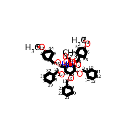 COCNC(=O)[C@H](OCc1ccccc1)[C@@H](OCc1ccccc1)[C@H](OCc1ccccc1)C(O)(COCc1ccc(OC)cc1)COCc1ccc(OC)cc1